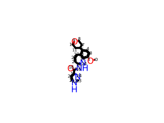 COc1ccc(C2CCOCC2)c2c1N=C(NC(=O)C1=C=CNC=N1)C=C=C2